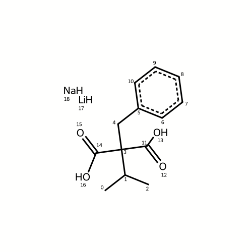 CC(C)C(Cc1ccccc1)(C(=O)O)C(=O)O.[LiH].[NaH]